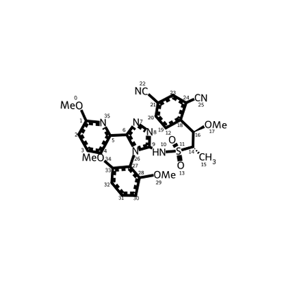 COc1cccc(-c2nnc(NS(=O)(=O)[C@@H](C)[C@H](OC)c3ccc(C#N)cc3C#N)n2-c2c(OC)cccc2OC)n1